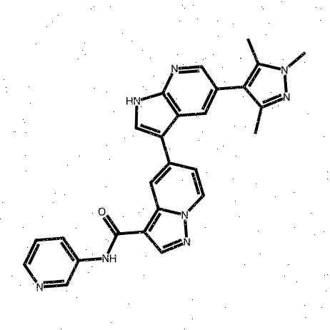 Cc1nn(C)c(C)c1-c1cnc2[nH]cc(-c3ccn4ncc(C(=O)Nc5cccnc5)c4c3)c2c1